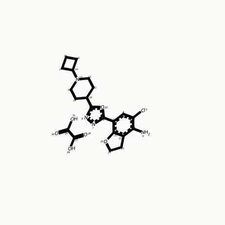 Nc1c(Cl)cc(-c2nnc(C3CCN(C4CCC4)CC3)o2)c2c1CCO2.O=C(O)C(=O)O